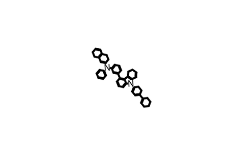 C1=CC2=C(C=C(N(c3ccccc3)c3cccc(-c4cccc5c4c4c(n5C5=CC=C(C6=CCCCC6)CC5)C=CCC4)c3)CC2)CC1